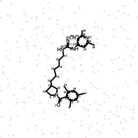 Cc1cc(C)c(C(=O)N2CCC(CCCCCCN/C(=N/C#N)Nc3cc(C)nc(C)c3)C2)c(C)c1